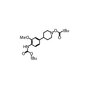 COc1cc(C2CCN(OC(=O)C(C)(C)C)CC2)ccc1NC(=O)OC(C)(C)C